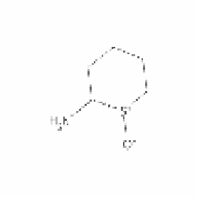 NC1CCCC[S+]1[O-]